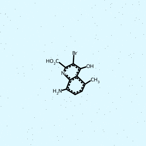 Cc1ccc(N)c2nc(C(=O)O)c(Br)c(O)c12